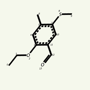 CCOc1cc(C)c(SC)cc1C=O